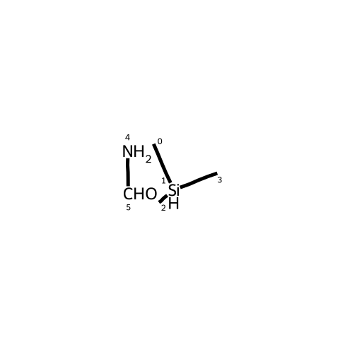 C[SiH](C)C.NC=O